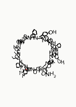 CCCC[C@H]1C(=O)N(CC)CC(=O)N[C@@H](CO)C(=O)N[C@@H](C(C)C)C(=O)N(C)[C@@H](Cc2ccccc2)C(=O)N[C@@H](Cc2ccc(O)cc2)C(=O)N2CCC[C@@H]2C(=O)N[C@@H](Cc2c[nH]c3ccccc23)C(=O)N[C@@H](Cc2ccc(O)cc2)C(=O)N[C@@H](CC(C)C)C(=O)N[C@H](C(=O)NCC(N)=O)CSCC(=O)N[C@@H](Cc2cc(F)c(F)c(F)c2)C(=O)N(C)[C@@H](Cc2ccccc2)C(=O)N1C